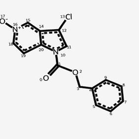 O=C(OCc1ccccc1)n1cc(Cl)c2c[n+]([O-])ccc21